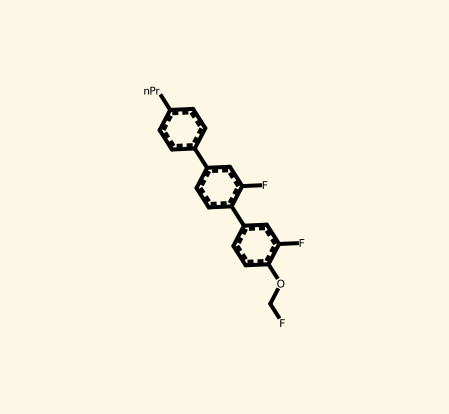 CCCc1ccc(-c2ccc(-c3ccc(OCF)c(F)c3)c(F)c2)cc1